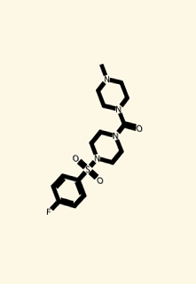 CN1CCN(C(=O)N2CCN(S(=O)(=O)c3ccc(F)cc3)CC2)CC1